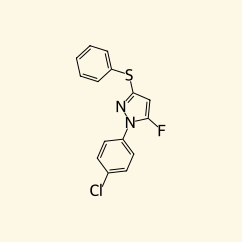 Fc1cc(Sc2ccccc2)nn1-c1ccc(Cl)cc1